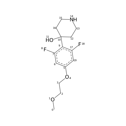 COCCOc1cc(F)c(C2(O)CCNCC2)c(F)c1